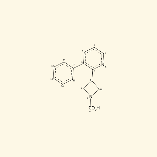 O=C(O)N1CC(c2ncccc2-c2ccccc2)C1